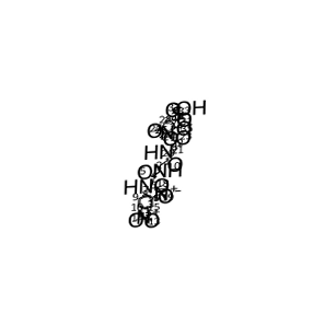 O=C(CNC(=O)CNc1ccc([N+](=O)[O-])cc1[N+](=O)[O-])NCC(=O)ON1C(=O)CC(S(=O)(=O)O)C1=O